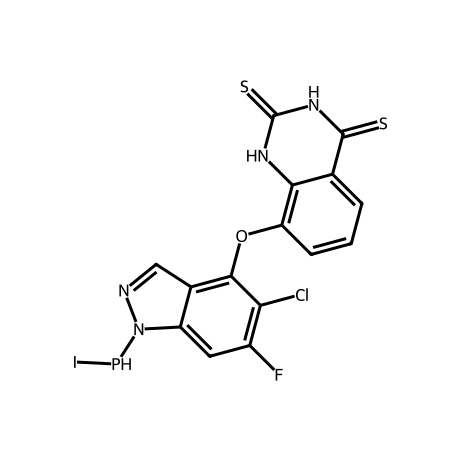 Fc1cc2c(cnn2PI)c(Oc2cccc3c(=S)[nH]c(=S)[nH]c23)c1Cl